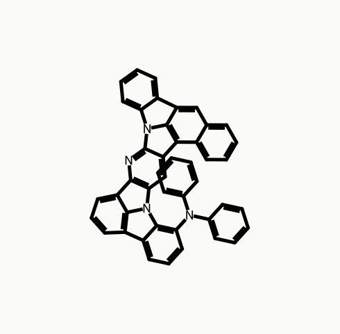 c1ccc(N(c2ccccc2)c2cccc3c4cccc5c6nc7c(cc6n(c23)c45)c2c3ccccc3cc3c4ccccc4n7c32)cc1